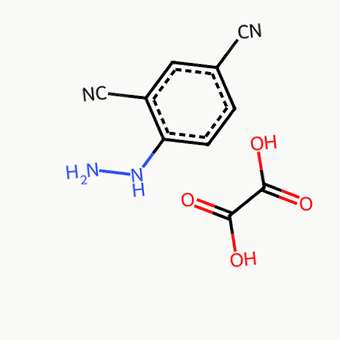 N#Cc1ccc(NN)c(C#N)c1.O=C(O)C(=O)O